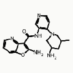 CC1CC(N)CN(c2ccncc2NC(=O)c2c(N)oc3cccnc23)C1